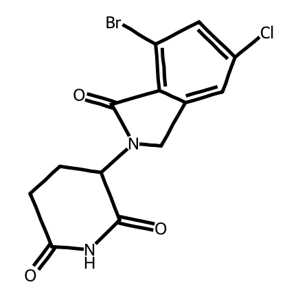 O=C1CCC(N2Cc3cc(Cl)cc(Br)c3C2=O)C(=O)N1